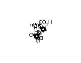 CCCC(CC(=O)O)Nc1ccccc1NCc1cc(Cl)cc(Cl)c1Cl